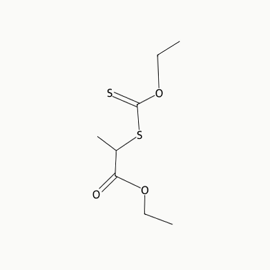 CCOC(=O)C(C)SC(=S)OCC